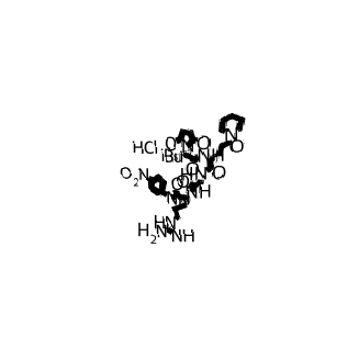 CC[C@H](C)[C@@H](C(=O)N[C@@H](CCC(=O)N1CCCCC1)C(=O)NCC(=O)N[C@@H](CCCNC(=N)N)C(=O)Nc1ccc([N+](=O)[O-])cc1)N1C(=O)CCC1=O.Cl